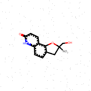 O=c1ccc2c3c(ccc2[nH]1)CC(CO)([N+](=O)[O-])O3